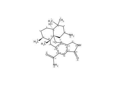 C[C@H]1CC[C@H]2C(C)(C)CC(N)C[C@]23Oc2c(c(C(N)=O)cc4c2CNC4=O)C[C@]13C